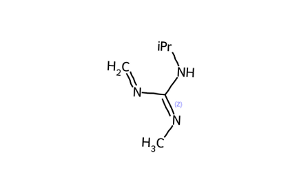 C=N/C(=N\C)NC(C)C